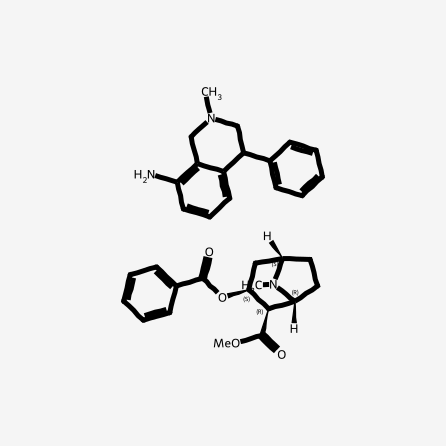 CN1Cc2c(N)cccc2C(c2ccccc2)C1.COC(=O)[C@H]1[C@@H](OC(=O)c2ccccc2)C[C@@H]2CC[C@H]1N2C